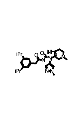 CC(C)c1cc(CC(=O)N=S(N)(=O)N(c2cnn(C)c2)C2CCCN(C)C2)cc(C(C)C)c1